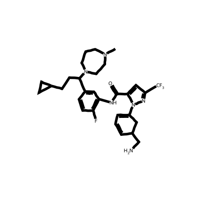 CN1CCCN(C(CCC2CC2)c2ccc(F)c(NC(=O)c3cc(C(F)(F)F)nn3C3=CC=CC(CN)C3)c2)CC1